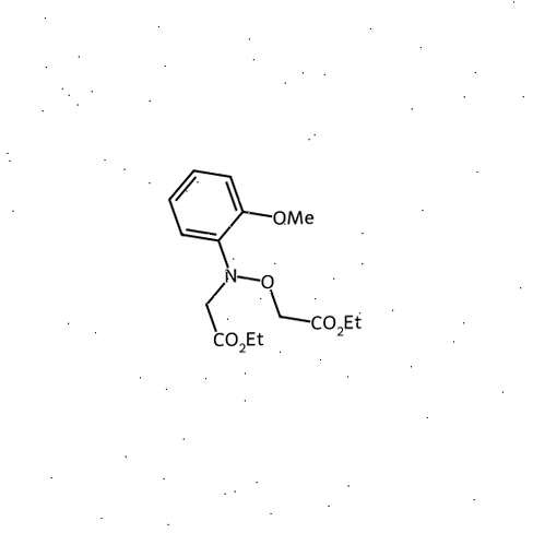 CCOC(=O)CON(CC(=O)OCC)c1ccccc1OC